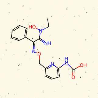 CCN(O)C(=N)C(=NOCc1cccc(NC(=O)O)n1)c1ccccc1